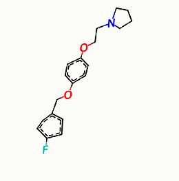 Fc1ccc(COc2ccc(OCCN3CCCC3)cc2)cc1